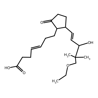 CCOCC(C)(C)C(O)C=CC1CCC(=O)C1CCC=CCCC(=O)O